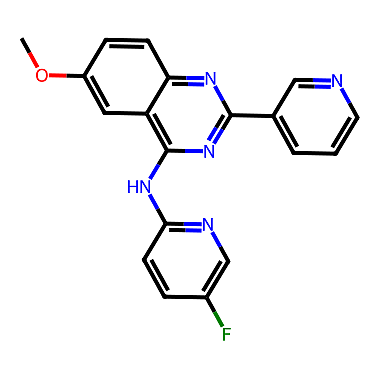 COc1ccc2nc(-c3cccnc3)nc(Nc3ccc(F)cn3)c2c1